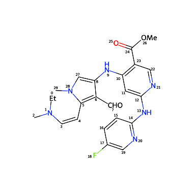 CCN(C)/C=C\c1c(C=O)c(Nc2cc(Nc3ccc(F)cn3)ncc2C(=O)OC)cn1C